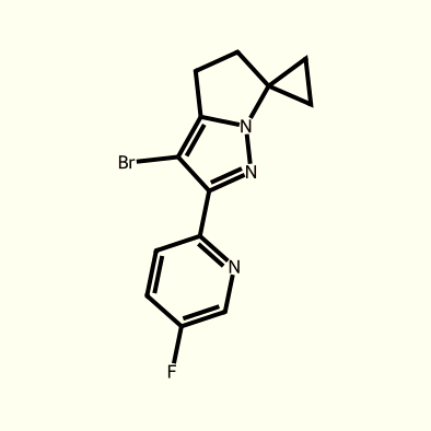 Fc1ccc(-c2nn3c(c2Br)CCC32CC2)nc1